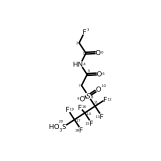 O=C(CF)NC(=O)CS(=O)(=O)C(F)(F)C(F)(F)C(F)(F)S(=O)(=O)O